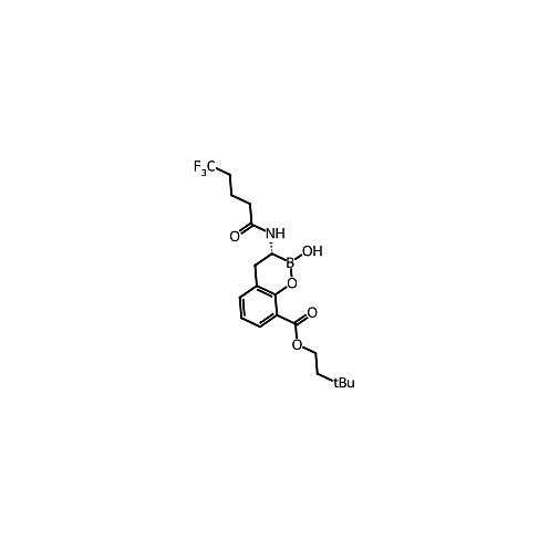 CC(C)(C)CCOC(=O)c1cccc2c1OB(O)[C@@H](NC(=O)CCCC(F)(F)F)C2